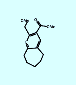 COCc1nc2c(cc1C(=O)OC)CCCCC2